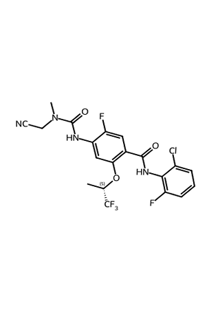 C[C@H](Oc1cc(NC(=O)N(C)CC#N)c(F)cc1C(=O)Nc1c(F)cccc1Cl)C(F)(F)F